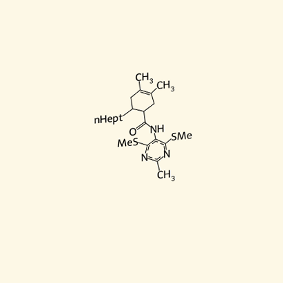 CCCCCCCC1CC(C)=C(C)CC1C(=O)Nc1c(SC)nc(C)nc1SC